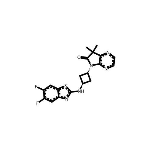 CC1(C)C(=O)N([C@H]2C[C@H](Nc3nc4cc(F)c(F)cc4s3)C2)c2nccnc21